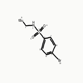 CC(C)(C)CNS(=O)(=O)c1ccc(Br)cc1